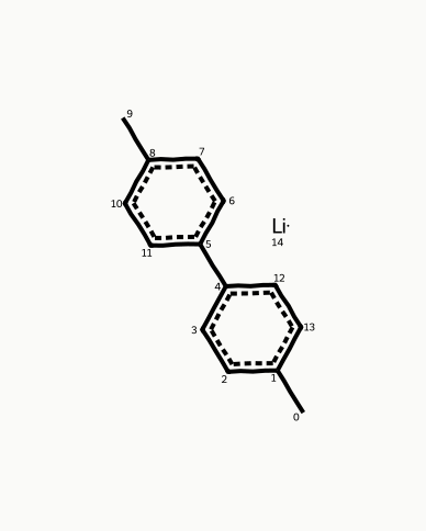 Cc1ccc(-c2ccc(C)cc2)cc1.[Li]